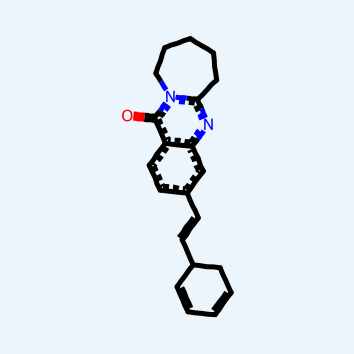 O=c1c2ccc(/C=C/C3C=CC=CC3)cc2nc2n1CCCCC2